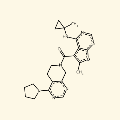 Cc1oc2ncnc(NC3(C)CC3)c2c1C(=O)N1CCc2c(ncnc2N2CCCC2)C1